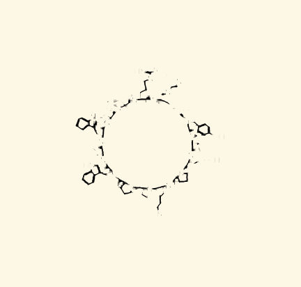 C=C[C@H]1C(=O)N[C@@H](CC(=O)O)C(=O)N2CCC[C@H]2C(=O)N[C@@H](CCCCN)C(=O)N[C@@H](CC(C)C)C(=O)N2CCC[C@H]2C(=O)N[C@@H](Cc2c[nH]c3ccccc23)C(=O)N[C@@H](CO)C(=O)N[C@@H](Cc2c[nH]c3ccccc23)C(=O)N(C)[C@@H](CCCC)C(=O)N(C)[C@@H](CCCC)C(=O)N[C@@H](CCCNC(=N)N)C(=O)N[C@H](C(=O)NCC(N)=O)CSCC(=O)N[C@@H](Cc2ccc(O)cc2)C(=O)N1C